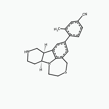 Cc1cc(C#N)ccc1-c1cc2c3c(c1)[C@@H]1CNCC[C@@H]1N3CCSC2